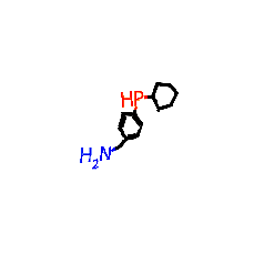 NCc1ccc(PC2CCCCC2)cc1